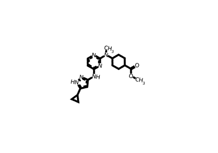 COC(=O)C1CCC(N(C)c2nccc(Nc3cc(C4CC4)[nH]n3)n2)CC1